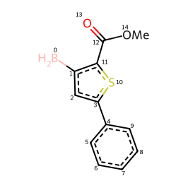 Bc1cc(-c2ccccc2)sc1C(=O)OC